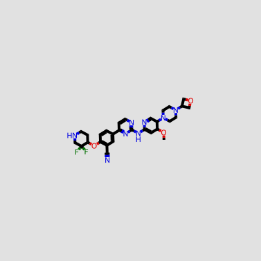 COC1C=C(Nc2nccc(-c3ccc(OC4CCNCC4(F)F)c(C#N)c3)n2)N=CC1N1CCN(C2COC2)CC1